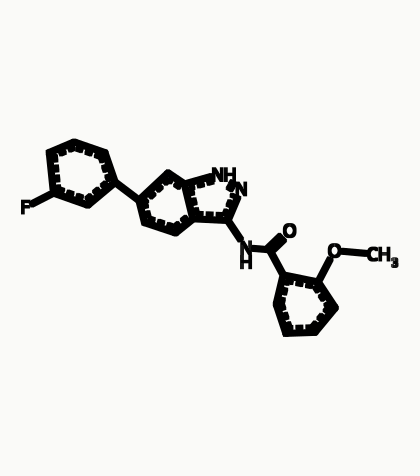 COc1ccccc1C(=O)Nc1n[nH]c2cc(-c3cccc(F)c3)ccc12